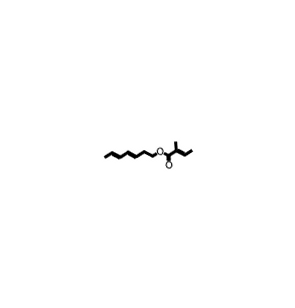 C/C=C/C=C/CCOC(=O)/C(C)=C/C